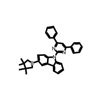 CC1(C)CB(c2ccc3c(c2)c2ccccc2n3-c2nc(-c3ccccc3)cc(-c3ccccc3)n2)CC1(C)C